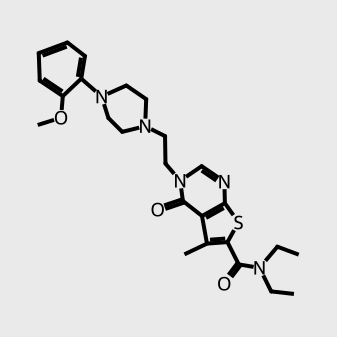 CCN(CC)C(=O)c1sc2ncn(CCN3CCN(c4ccccc4OC)CC3)c(=O)c2c1C